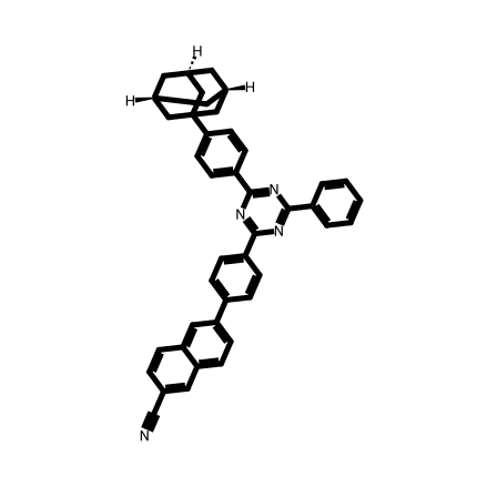 N#Cc1ccc2cc(-c3ccc(-c4nc(-c5ccccc5)nc(-c5ccc(C67C[C@H]8C[C@@H](C6)C[C@@H](C7)C8)cc5)n4)cc3)ccc2c1